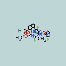 CCOP(=O)(CC(=O)N1C[C@@H](F)[C@H](N(C)c2nc(OC[C@@]34CCCN3C[C@H](F)C4)nc3c(F)c(-c4cccc5cccc(Cl)c45)ncc23)C1)OCC